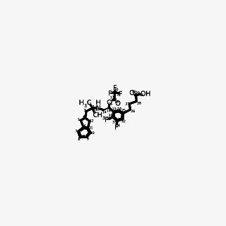 CC(C)(CC1Cc2ccccc2C1)NC[C@@H](OC(=O)C(F)(F)F)c1cc(CCCC(=O)O)cc(F)c1F